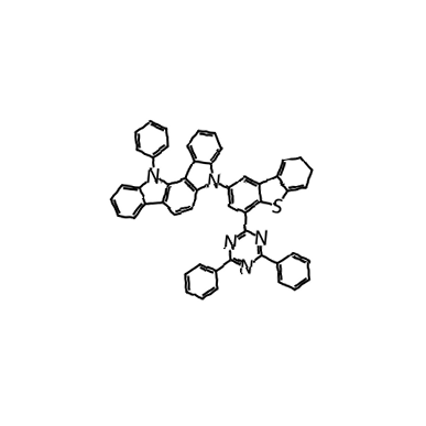 C1=c2sc3c(-c4nc(-c5ccccc5)nc(-c5ccccc5)n4)cc(-n4c5ccccc5c5c4ccc4c6ccccc6n(-c6ccccc6)c45)cc3c2=CCC1